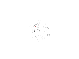 Cc1cc(O)c(O)cc1C(c1cc(O)c(O)cc1C)c1cc(C2(c3cc(C)c(O)c(C(c4cc(O)c(O)cc4C)c4cc(O)c(O)cc4C)c3)CCC(C(C)(C)C3CCC(c4cc(C)c(O)c(C(c5cc(O)c(O)cc5C)c5cc(O)c(O)cc5C)c4)(c4cc(C)c(O)c(C(c5cc(O)c(O)cc5C)c5cc(O)c(O)cc5C)c4)CC3)CC2)cc(C)c1O